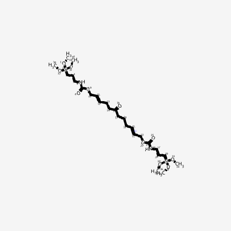 CO[Si](CCCNC(=O)OCC=CCCC(=O)CCC/C=C/COC(=O)NCCC[Si](OC)(OC)OC)(OC)OC